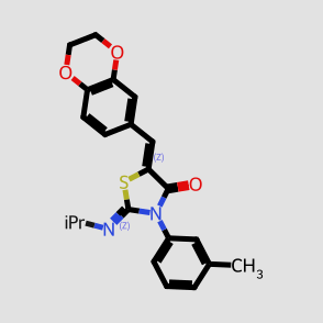 Cc1cccc(N2C(=O)/C(=C/c3ccc4c(c3)OCCO4)S/C2=N\C(C)C)c1